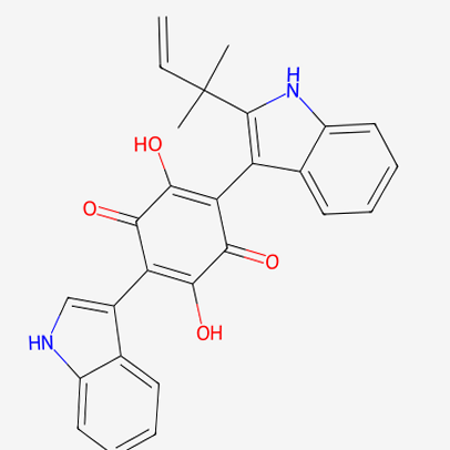 C=CC(C)(C)c1[nH]c2ccccc2c1C1=C(O)C(=O)C(c2c[nH]c3ccccc23)=C(O)C1=O